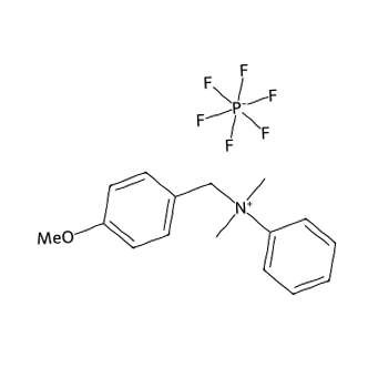 COc1ccc(C[N+](C)(C)c2ccccc2)cc1.F[P-](F)(F)(F)(F)F